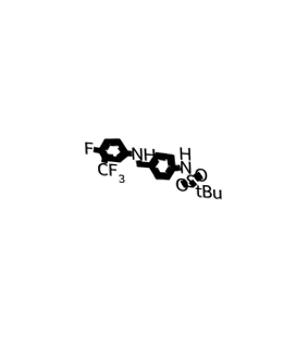 CC(C)(C)S(=O)(=O)Nc1ccc(CNc2ccc(F)c(C(F)(F)F)c2)cc1